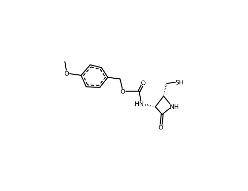 COc1ccc(COC(=O)N[C@H]2C(=O)N[C@H]2CS)cc1